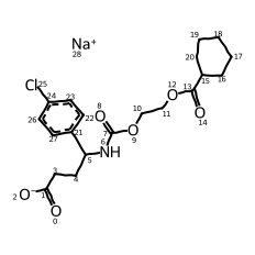 O=C([O-])CCC(NC(=O)OCCOC(=O)C1CCCCC1)c1ccc(Cl)cc1.[Na+]